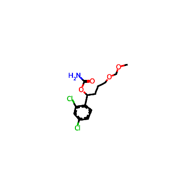 COCOCCCC(OC(N)=O)c1ccc(Cl)cc1Cl